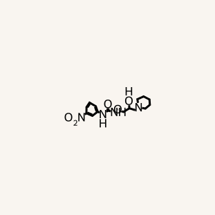 O=C(NOCC(O)CN1CCCCC1)Nc1cccc([N+](=O)[O-])c1